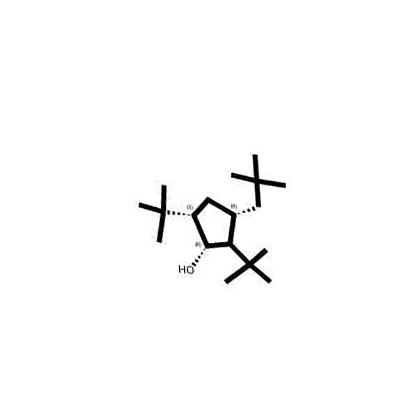 CC(C)(C)C[C@H]1C[C@@H](C(C)(C)C)[C@@H](O)C1C(C)(C)C